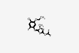 CCOc1cc(N=c2sc(OC(F)F)nn2C)c(F)cc1Cl